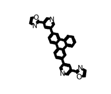 c1ccc2c(c1)c1cc(-c3cncc(-c4ncco4)c3)ccc1c1ccc(-c3cncc(-c4ncco4)c3)cc21